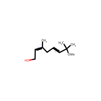 COC(C)(C)/C=C/C/C(C)=C\CO